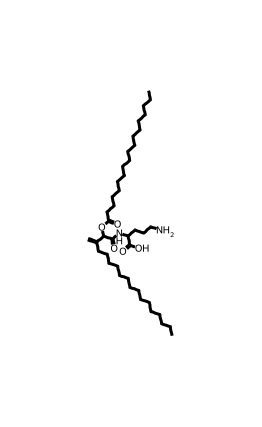 C=C(CCCCCCCCCCCCCCC)C(OC(=O)CCCCCCCCCCCCCCCCC)C(=O)NC(CCCN)C(=O)O